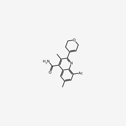 CC(=O)c1cc(C)cc2c(C(N)=O)c(C)c(C3=CCOCC3)nc12